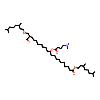 CC(C)CCCC(C)CCSCC(C=O)CCCCCCCCC(CCCCCCCCCC(=O)SCCC(C)CCCC(C)C)OC(=O)CCCN(C)C